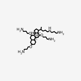 CC(CCCNCCCN)C1CC[C@H]2C3[C@H](OCCCN)CC4C[C@H](OCCCN)CC[C@]4(C)[C@H]3C[C@H](OCCCN)[C@]12C